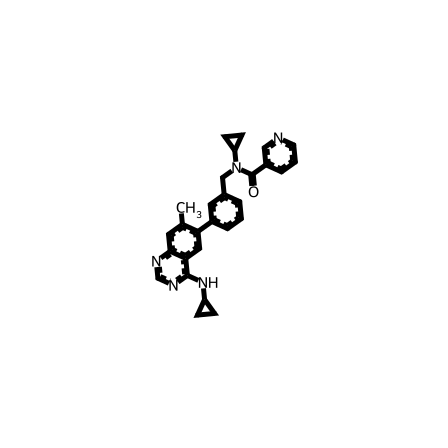 Cc1cc2ncnc(NC3CC3)c2cc1-c1cccc(CN(C(=O)c2cccnc2)C2CC2)c1